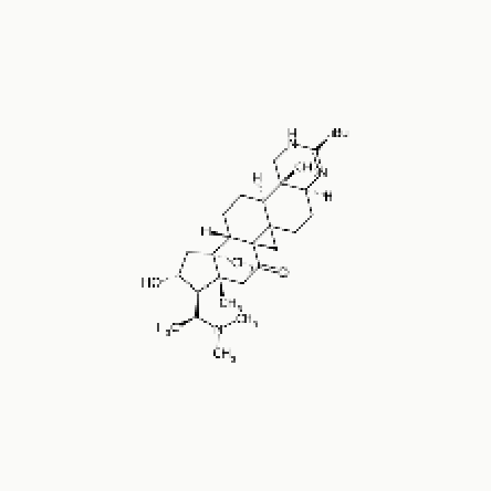 CC[C@H](C)C1=N[C@H]2CCC34C[C@]35C(=O)C[C@]3(C)[C@@H]([C@H](C)N(C)C)[C@H](O)C[C@@]3(C)[C@@H]5CC[C@H]4[C@]2(C)CN1